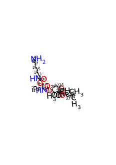 COC1C(OC(=O)N[C@@H](COC(=O)NCCCCCCN)C(C)C)CCC2(CO2)C1C(C)(C)OCC=C(C)C